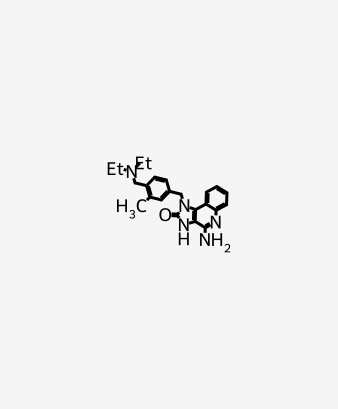 CCN(CC)Cc1ccc(Cn2c(=O)[nH]c3c(N)nc4ccccc4c32)cc1C